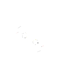 C=C(C)C(=O)c1csc(Sc2cc(C(=O)C(=C)C)cs2)c1